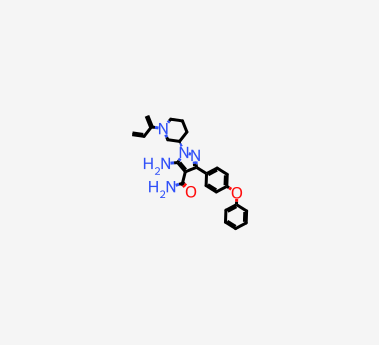 C=CC(=C)N1CCC[C@@H](n2nc(-c3ccc(Oc4ccccc4)cc3)c(C(N)=O)c2N)C1